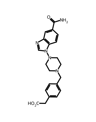 NC(=O)c1ccc2c(c1)ncn2N1CCN(Cc2ccc(CC(=O)O)cc2)CC1